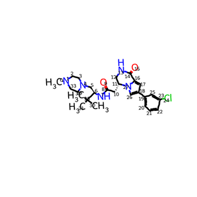 CN1CCN(C[C@@H](NC(=O)C[C@@H]2CNC(=O)c3cc(-c4cccc(Cl)c4)cn32)C(C)(C)C)CC1